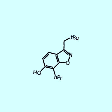 CCCc1c(O)ccc2c(CC(C)(C)C)noc12